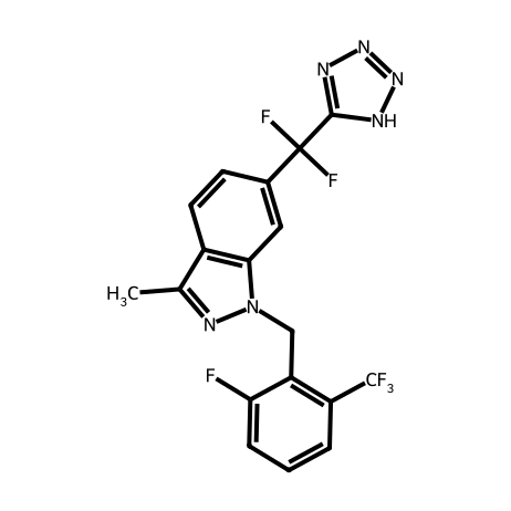 Cc1nn(Cc2c(F)cccc2C(F)(F)F)c2cc(C(F)(F)c3nnn[nH]3)ccc12